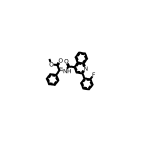 COC(=O)[C@H](NC(=O)c1cc(-c2ccccc2F)nc2ccccc12)c1ccccc1